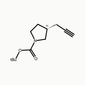 C#CC[C@H]1CCN(C(=O)OC(C)(C)C)C1